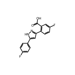 O=C(O)c1cc(F)ccc1-c1cc(-c2ccc(F)cc2)[nH]n1